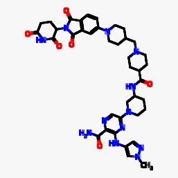 Cn1cc(Nc2nc(N3CCCC(NC(=O)C4CCN(CC5CCN(c6ccc7c(c6)C(=O)N(C6CCC(=O)NC6=O)C7=O)CC5)CC4)C3)cnc2C(N)=O)cn1